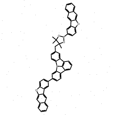 CC1(C)OB(c2ccc3oc4cc5ccccc5cc4c3c2)OC1(C)Cc1ccc2c(c1)c1cccc3c4ccc(-c5ccc6oc7cc8ccccc8cc7c6c5)cc4n2c13